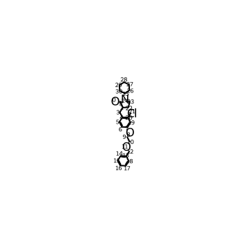 O=C1C(Cc2ccc(OCCOCc3ccccc3)cc2Cl)CCN1C1CCCCC1